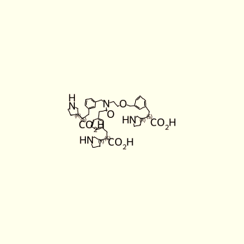 O=C(O)[C@@H](Cc1cccc(COCCN(Cc2cccc(C[C@H](C(=O)O)[C@H]3CCNC3)c2)C(=O)Cc2cccc(C[C@H](C(=O)O)[C@H]3CCNC3)c2)c1)[C@H]1CCNC1